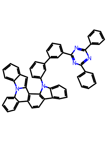 c1ccc(-c2nc(-c3ccccc3)nc(-c3cccc(-c4cccc(-n5c6ccccc6c6ccc7c8ccccc8n8c9ccccc9cc8c7c65)c4)c3)n2)cc1